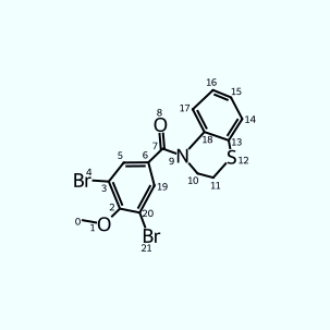 COc1c(Br)cc(C(=O)N2CCSc3ccccc32)cc1Br